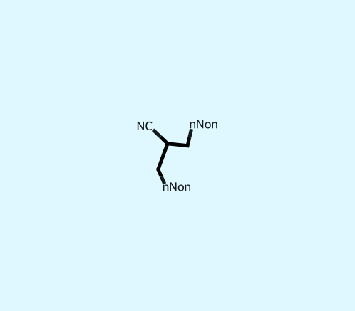 CCCCCCCCCCC(C#N)CCCCCCCCCC